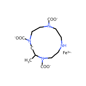 CC1CN(C(=O)[O-])CCN(C(=O)[O-])CCNCCN1C(=O)[O-].[Fe+3]